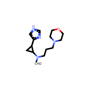 O=CN(CCCN1CCOCC1)C1CC1c1c[nH]cn1